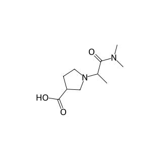 CC(C(=O)N(C)C)N1CCC(C(=O)O)C1